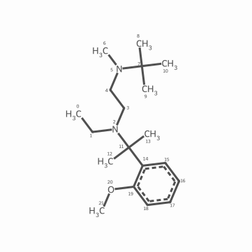 CCN(CCN(C)C(C)(C)C)C(C)(C)c1ccccc1OC